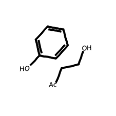 CC(=O)CCO.Oc1ccccc1